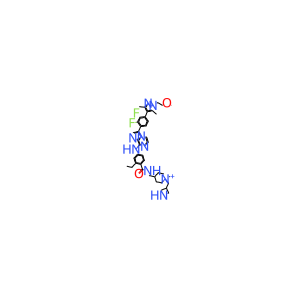 CCc1cc(Nc2nccn3c(-c4ccc(-c5c(C)nn(CCOC)c5C)c(F)c4F)cnc23)ccc1C(=O)NCC1CC[N+](C)(CC2CNC2)CC1